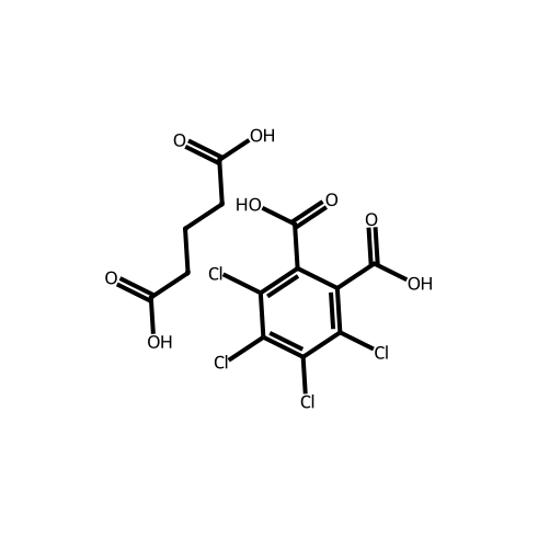 O=C(O)CCCC(=O)O.O=C(O)c1c(Cl)c(Cl)c(Cl)c(Cl)c1C(=O)O